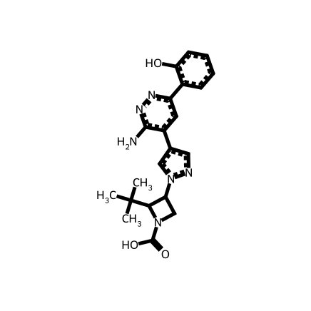 CC(C)(C)C1C(n2cc(-c3cc(-c4ccccc4O)nnc3N)cn2)CN1C(=O)O